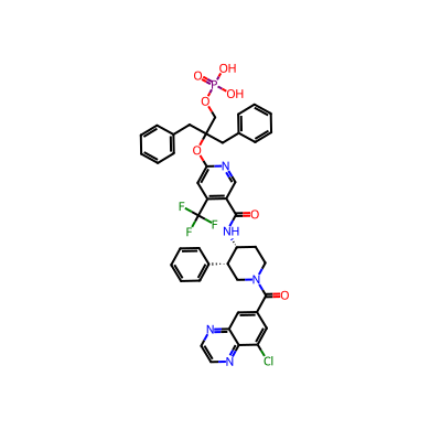 O=C(N[C@@H]1CCN(C(=O)c2cc(Cl)c3nccnc3c2)C[C@@H]1c1ccccc1)c1cnc(OC(COP(=O)(O)O)(Cc2ccccc2)Cc2ccccc2)cc1C(F)(F)F